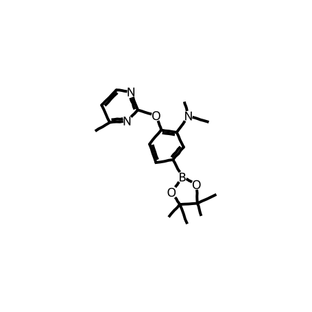 Cc1ccnc(Oc2ccc(B3OC(C)(C)C(C)(C)O3)cc2N(C)C)n1